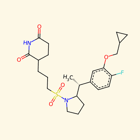 C[C@H](c1ccc(F)c(OCC2CC2)c1)C1CCCN1S(=O)(=O)CCCC1CCC(=O)NC1=O